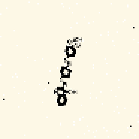 O=S(=O)(O)c1ccc(/N=N/C2C=CC(/N=N/c3cnc4ccccc4c3O)=CC2)cc1